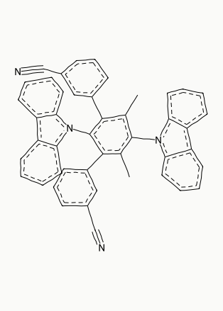 Cc1c(-c2cccc(C#N)c2)c(-n2c3ccccc3c3ccccc32)c(-c2cccc(C#N)c2)c(C)c1-n1c2ccccc2c2ccccc21